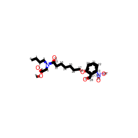 CCCCN(CC(=O)OC)C(=O)CCCCCCOc1cccc([N+](=O)[O-])c1C=O